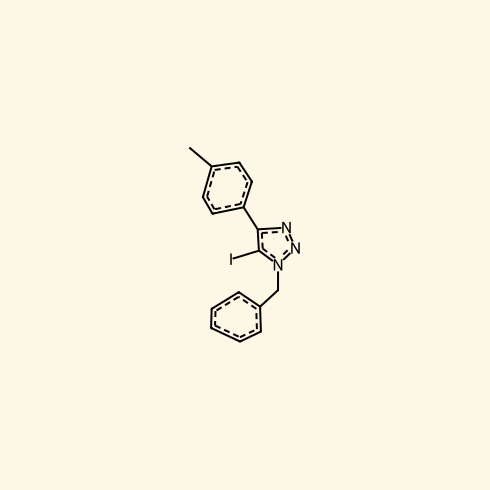 Cc1ccc(-c2nnn(Cc3ccccc3)c2I)cc1